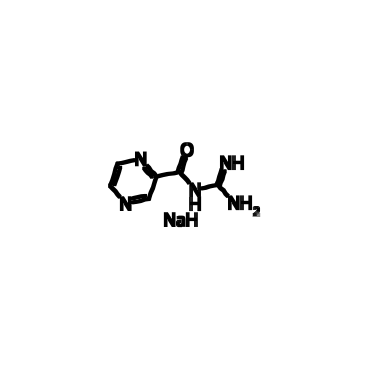 N=C(N)NC(=O)c1cnccn1.[NaH]